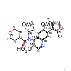 COC[C@@H](C)N(C(=O)C1CCOCC1)c1c(C(=O)O)cnc2cc(-c3c(C)noc3C)c(OC)cc12